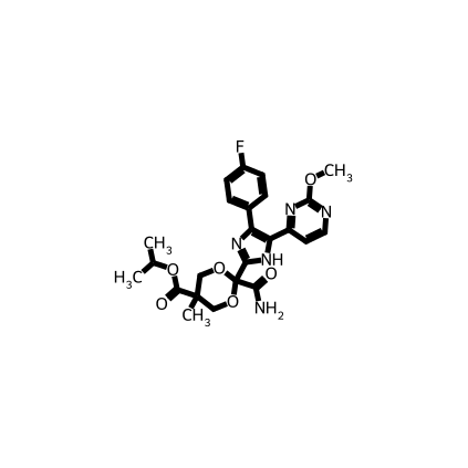 COc1nccc(-c2[nH]c(C3(C(N)=O)OCC(C)(C(=O)OC(C)C)CO3)nc2-c2ccc(F)cc2)n1